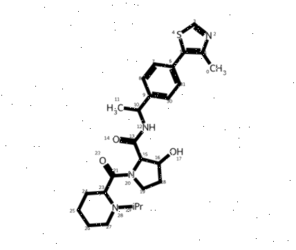 Cc1ncsc1-c1ccc(C(C)NC(=O)C2C(O)CCN2C(=O)C2CCCCN2C(C)C)cc1